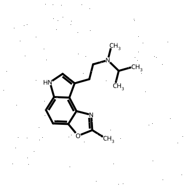 Cc1nc2c(ccc3[nH]cc(CCN(C)C(C)C)c32)o1